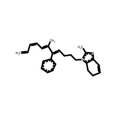 C=C\C=C/C=C(C)/C(=C/CCCn1c(C)nc2c1CCC=C2)c1ccccc1